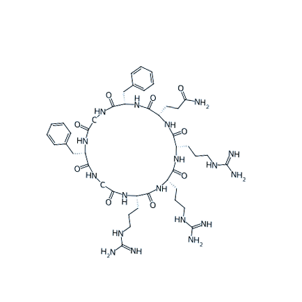 N=C(N)NCCC[C@@H]1NC(=O)CNC(=O)[C@H](Cc2ccccc2)NC(=O)CNC(=O)[C@H](Cc2ccccc2)NC(=O)[C@H](CCC(N)=O)NC(=O)[C@H](CCCNC(=N)N)NC(=O)[C@H](CCCNC(=N)N)NC1=O